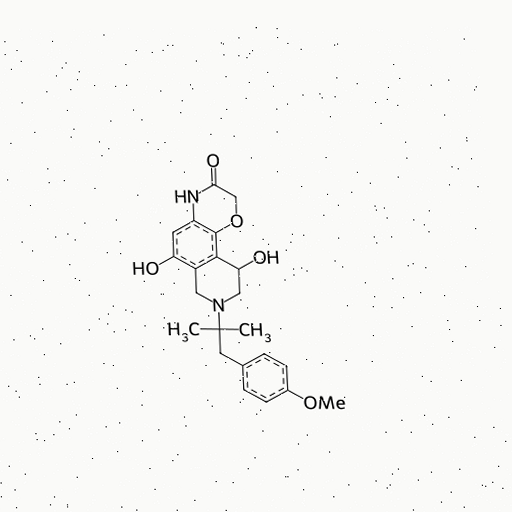 COc1ccc(CC(C)(C)N2Cc3c(O)cc4c(c3C(O)C2)OCC(=O)N4)cc1